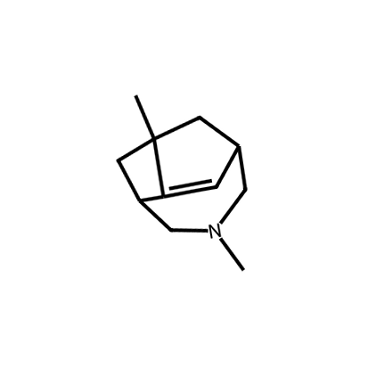 CN1CC2C=C3C(C1)CC3(C)C2